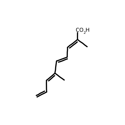 C=C/C=C(C)/C=C/C=C(\C)C(=O)O